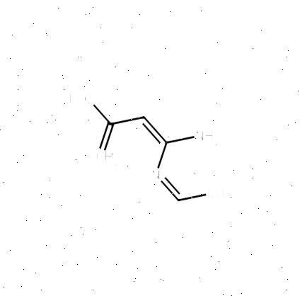 C=C(C)/C=C(N)\N=C/C